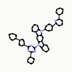 c1ccc(-c2ccc(-c3nc(-c4ccccc4)nc(-n4c5ccccc5c5cc6c(cc54)c4ccccc4n6-c4ccc(-c5cccc(-c6ccccc6)n5)cc4)n3)cc2)cc1